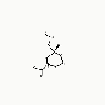 COC[C@]1(O)CCCN(C(C)C)C1